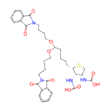 O=C(O)N[C@H]1[C@@H](NC(=O)O)CS[C@H]1CCCCC(OCCCCN1C(=O)c2ccccc2C1=O)OCCCCN1C(=O)c2ccccc2C1=O